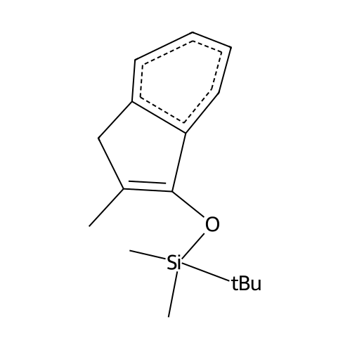 CC1=C(O[Si](C)(C)C(C)(C)C)c2ccccc2C1